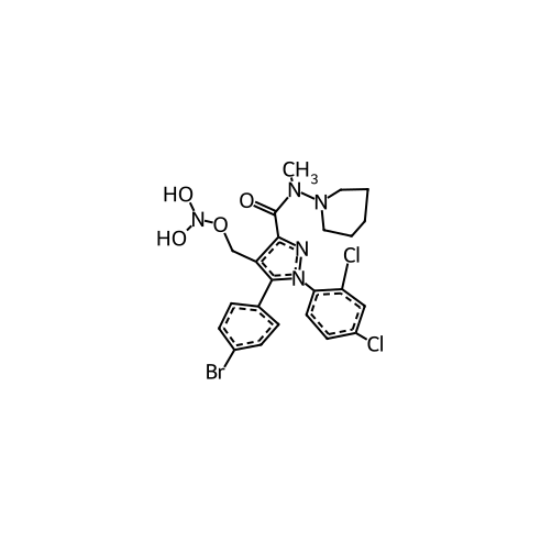 CN(C(=O)c1nn(-c2ccc(Cl)cc2Cl)c(-c2ccc(Br)cc2)c1CON(O)O)N1CCCCC1